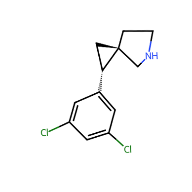 Clc1cc(Cl)cc([C@@H]2C[C@]23CCNC3)c1